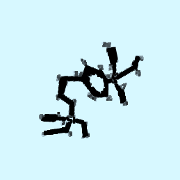 C#C[Si](C=C)(C=C)C/C=C\c1ccc([Si](C#C)(C#C)C=C)cc1